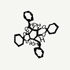 O=C(c1ccccc1)[C@]1(O)[C@@H]2OC3(CCCCC3)O[C@H]2[C@@](O)(Cc2ccccc2)[C@H]2OC3(CCCCC3)O[C@H]21